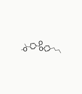 CCCCc1ccc(OC(=O)c2ccc(C(C)OC)cc2)cc1